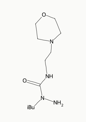 CCC(C)N(N)C(=O)NCCN1CCOCC1